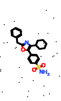 NS(=O)(=O)c1ccc(-c2oc(Cc3ccccc3)nc2C2CCCCC2)cc1